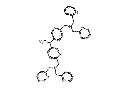 CC(c1ccc(CN(Cc2ccccn2)Cc2ccccn2)nc1)c1ccc(CN(Cc2ccccn2)Cc2ccccn2)nc1